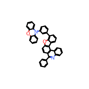 c1ccc(-c2nc3ccccc3c3c2ccc2oc4c(-c5cccc(N6c7ccccc7Oc7ccccc76)c5)cccc4c23)cc1